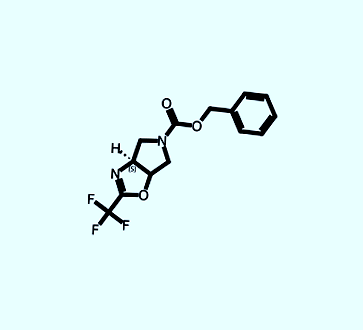 O=C(OCc1ccccc1)N1CC2OC(C(F)(F)F)=N[C@H]2C1